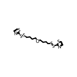 c1csc(SSCCCCOCCCCSSc2nccs2)n1